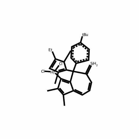 CCC1=CC(C)=C(C2(c3ccc(C(C)(C)C)cc3)C(=[SiH2])C=CC=C3C(C)=C(C)[C]([Hf]([Cl])[Cl])=C32)C1C